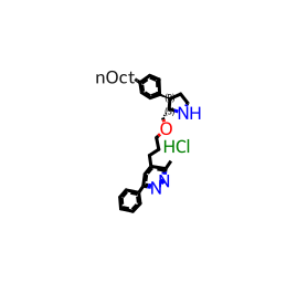 CCCCCCCCc1ccc([C@H]2CCN[C@@H]2COCCCc2cc(-c3ccccc3)nnc2C)cc1.Cl